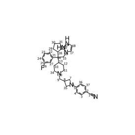 N#Cc1ccc(N2CC(CN3CCC(C(CN4C=CNN4)(c4cccc(F)c4)C4CCCC4)CC3)C2)cc1